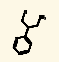 CCC(CCl)c1ccccn1